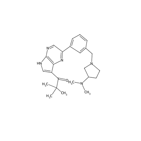 CN(C)C1CCN(Cc2cccc(-c3cnc4[nH]cc(C(=O)C(C)(C)C)c4n3)c2)C1